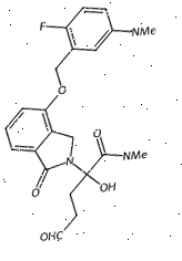 CNC(=O)C(O)(CCC=O)N1Cc2c(OCc3cc(NC)ccc3F)cccc2C1=O